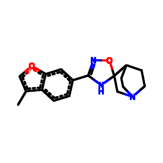 Cc1coc2cc(C3=NOC4(CN5CCC4CC5)N3)ccc12